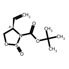 C=C[C@@H]1COS(=O)N1C(=O)OC(C)(C)C